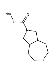 CC(C)(C)OC(=O)N1CC2CCOCCC2C1